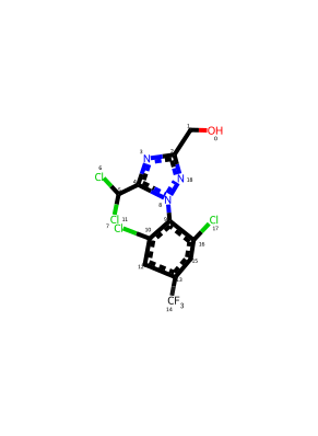 OCc1nc(C(Cl)Cl)n(-c2c(Cl)cc(C(F)(F)F)cc2Cl)n1